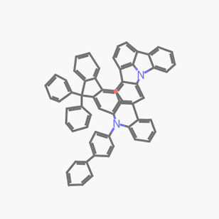 c1ccc(-c2ccc(N(c3ccc4c(c3)C(c3ccccc3)(c3ccccc3)c3ccccc3-4)c3ccccc3-c3ccc4c5cccc6c7ccccc7n(c4c3)c65)cc2)cc1